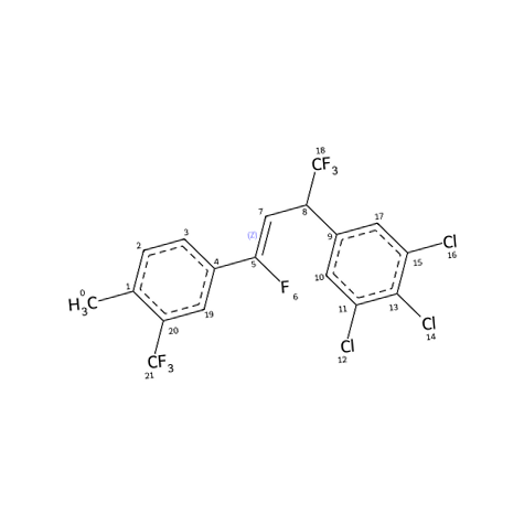 Cc1ccc(/C(F)=C/C(c2cc(Cl)c(Cl)c(Cl)c2)C(F)(F)F)cc1C(F)(F)F